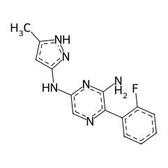 Cc1cc(Nc2cnc(-c3ccccc3F)c(N)n2)n[nH]1